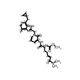 COC(=O)NC(CC/C=C/C(=O)N(C)C)C(=O)Nc1cccn(Cc2nc3c(F)cnc(CC4CC4)c3[nH]2)c1=O